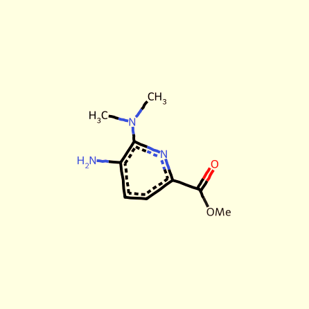 COC(=O)c1ccc(N)c(N(C)C)n1